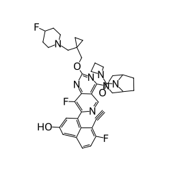 C#Cc1c(F)ccc2cc(O)cc(-c3ncc4c(N5CC6CCC(C5)N6C(=O)N5CCC5)nc(OCC5(CN6CCC(F)CC6)CC5)nc4c3F)c12